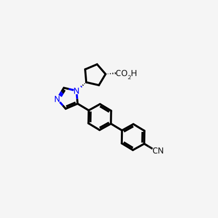 N#Cc1ccc(-c2ccc(-c3cncn3[C@@H]3CC[C@H](C(=O)O)C3)cc2)cc1